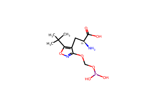 CC(C)(C)c1onc(OCOP(O)O)c1C[C@H](N)C(=O)O